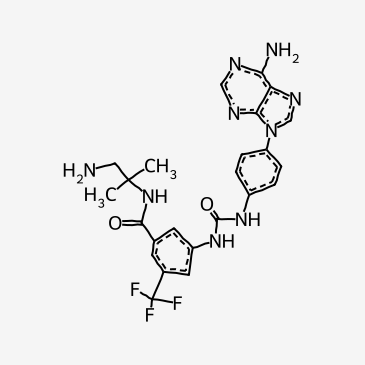 CC(C)(CN)NC(=O)c1cc(NC(=O)Nc2ccc(-n3cnc4c(N)ncnc43)cc2)cc(C(F)(F)F)c1